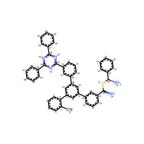 N#Cc1ccccc1-c1cc(-c2cccc(C(=N)SC(N)c3ccccc3)c2)cc(-c2cccc(-c3nc(-c4ccccc4)nc(-c4ccccc4)n3)c2)c1